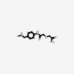 O=C(P)COCC(=O)Nc1ccc(CNI)cc1